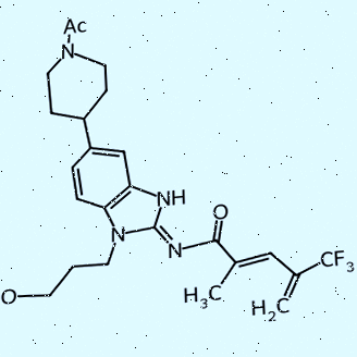 C=C(/C=C(\C)C(=O)/N=c1\[nH]c2cc(C3CCN(C(C)=O)CC3)ccc2n1CCCO)C(F)(F)F